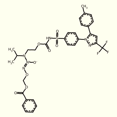 Cc1ccc(-c2cc(C(F)(F)F)nn2-c2ccc(S(=O)(=O)NC(=O)OCCN(C(C)C)/[N+]([O-])=N/OCOC(=O)c3ccccc3)cc2)cc1